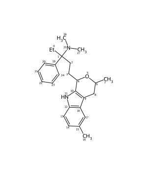 CCC(CCC1OC(C)Cc2c1[nH]c1ccc(C)cc21)(c1ccccc1)N(C)C